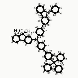 CC1(C)c2ccccc2-c2ccc(N(c3ccc(-c4ccc5c(c4)-c4ccccc4C5(c4ccccc4)c4ccccc4)cc3)c3ccc(-c4ccc5c(c4)c4ccccc4n5-c4ccccc4)cc3)cc21